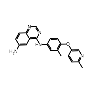 Cc1ccc(Oc2ccc(Nc3ncnc4ccc(N)cc34)cc2C)cn1